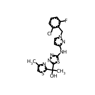 Cc1csc(C(C)(O)c2nnc(Nc3ccn(Cc4c(F)cccc4Cl)n3)s2)n1